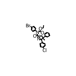 CCOC(=O)N(C(=O)N1CC(C)(c2ccccc2)C(c2ccc(Cl)cc2)=N1)c1ccc(Br)cc1